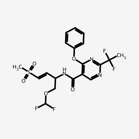 CC(F)(F)c1ncc(C(=O)NC(C=CS(C)(=O)=O)COC(F)F)c(Oc2ccccc2)n1